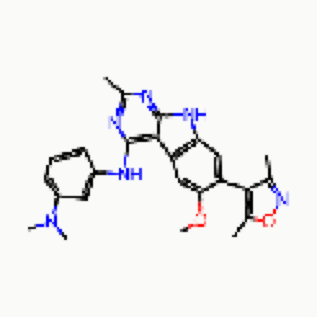 COc1cc2c(cc1-c1c(C)noc1C)[nH]c1nc(C)nc(Nc3cccc(N(C)C)c3)c12